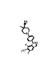 CC1(C#N)CCN(c2ccc(-n3ncc4cc(F)c(O)c(F)c43)cc2)CC1